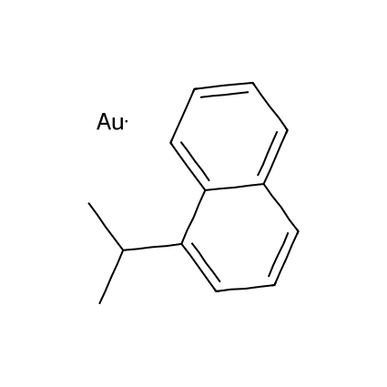 CC(C)c1cccc2ccccc12.[Au]